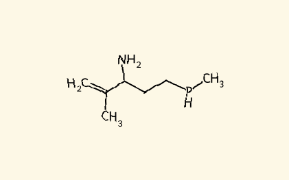 C=C(C)C(N)CCPC